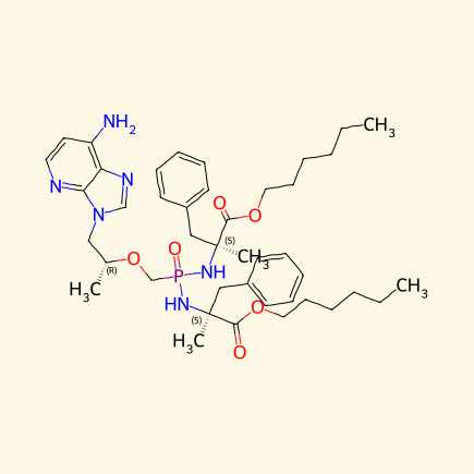 CCCCCCOC(=O)[C@](C)(Cc1ccccc1)NP(=O)(CO[C@H](C)Cn1cnc2c(N)ccnc21)N[C@@](C)(Cc1ccccc1)C(=O)OCCCCCC